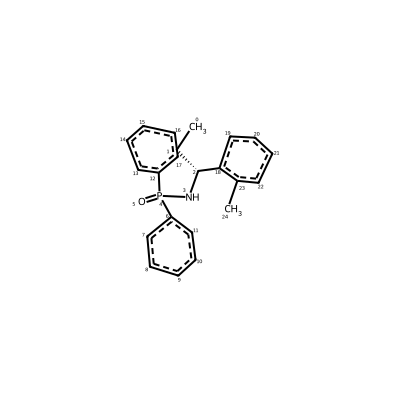 CC[C@@H](NP(=O)(c1ccccc1)c1ccccc1)c1ccccc1C